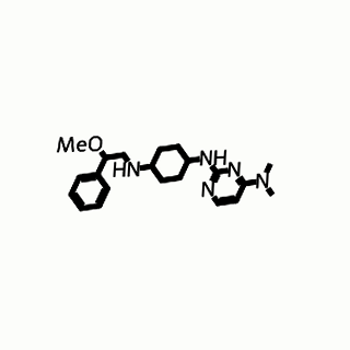 COC(CNC1CCC(Nc2nccc(N(C)C)n2)CC1)c1ccccc1